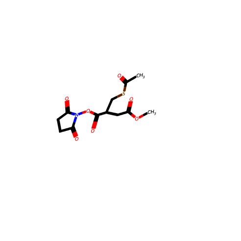 COC(=O)CC(CSC(C)=O)C(=O)ON1C(=O)CCC1=O